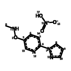 CNOc1ccc(-n2cccn2)nc1.O=[N+]([O-])O